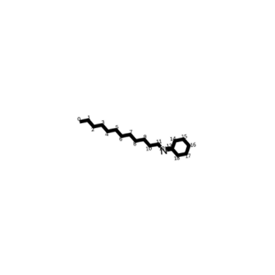 CCCCCCCCCCCCN=C1CCCCC1